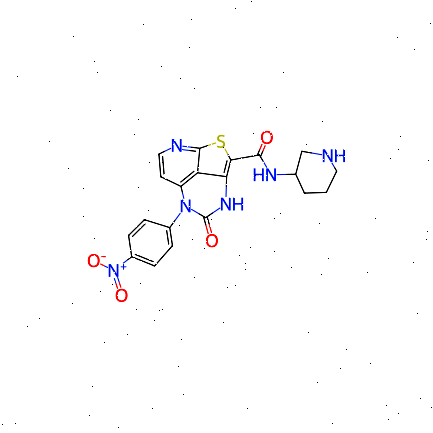 O=C(NC1CCCNC1)c1sc2nccc3c2c1NC(=O)N3c1ccc([N+](=O)[O-])cc1